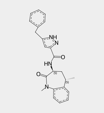 C[C@H]1C[C@H](NC(=O)c2cc(Cc3ccccc3)[nH]n2)C(=O)N(C)c2ccccc21